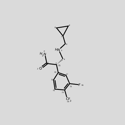 NC(=O)[C@H](CNCC1CC1)c1ccc(C(F)(F)F)c(F)c1